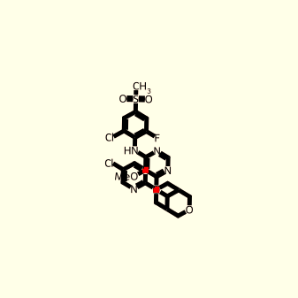 COc1c(Nc2c(F)cc(S(C)(=O)=O)cc2Cl)ncnc1OC1C2COCC1CN(c1ncc(Cl)cn1)C2